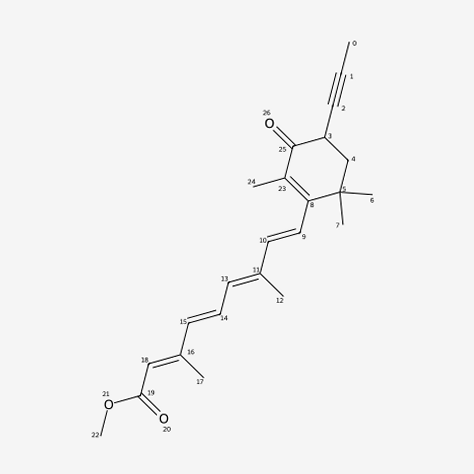 CC#CC1CC(C)(C)C(/C=C/C(C)=C/C=C/C(C)=C/C(=O)OC)=C(C)C1=O